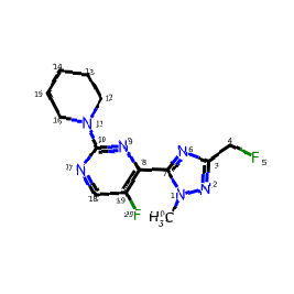 Cn1nc(CF)nc1-c1nc(N2CCCCC2)ncc1F